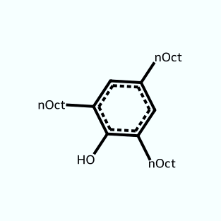 CCCCCCCCc1cc(CCCCCCCC)c(O)c(CCCCCCCC)c1